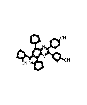 N#Cc1ccc(-c2nc3c(-c4ccccc4)cc4c(-c5ccccc5C#N)nc5ccccc5c4c3nc2-c2ccc(C#N)cc2)cc1